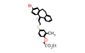 CCOC(=O)COc1ccc(SC/C=C2\c3ccccc3CCc3cc(Br)ccc32)cc1C